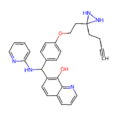 C#CCCC1(CCOc2ccc(C(Nc3ccccn3)c3ccc4cccnc4c3O)cc2)NN1